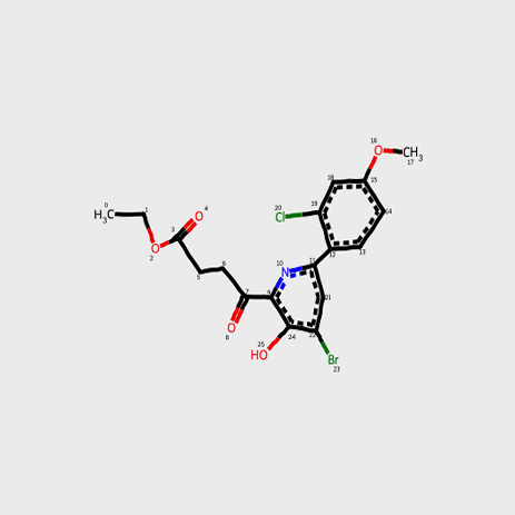 CCOC(=O)CCC(=O)c1nc(-c2ccc(OC)cc2Cl)cc(Br)c1O